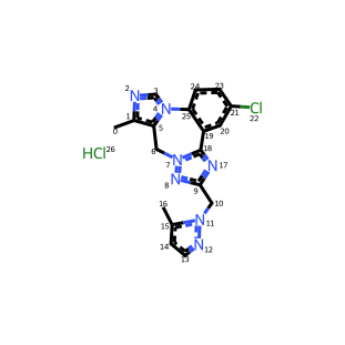 Cc1ncn2c1Cn1nc(Cn3nccc3C)nc1-c1cc(Cl)ccc1-2.Cl